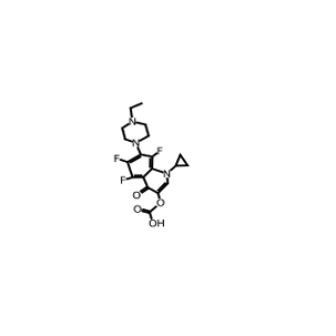 CCN1CCN(c2c(F)c(F)c3c(=O)c(OC(=O)O)cn(C4CC4)c3c2F)CC1